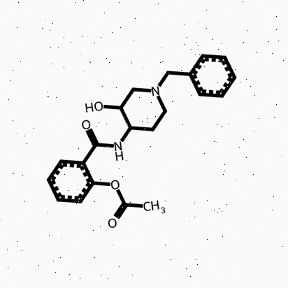 CC(=O)Oc1ccccc1C(=O)NC1CCN(Cc2ccccc2)CC1O